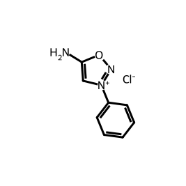 Nc1c[n+](-c2ccccc2)no1.[Cl-]